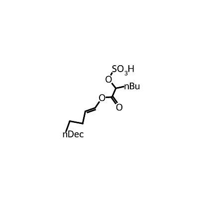 CCCCCCCCCCCCC=COC(=O)C(CCCC)OS(=O)(=O)O